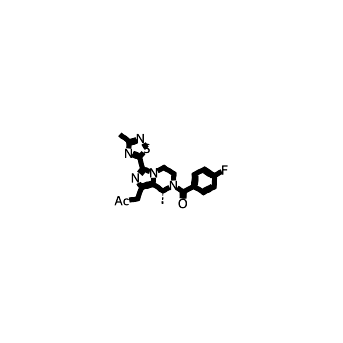 CC(=O)Cc1nc(-c2nc(C)ns2)n2c1[C@@H](C)N(C(=O)c1ccc(F)cc1)CC2